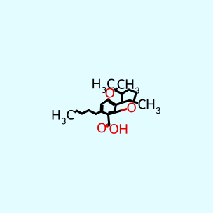 CCCCCc1cc2c3c(c1C(=O)O)OC1(C)CCC(C3C1)C(C)(C)O2